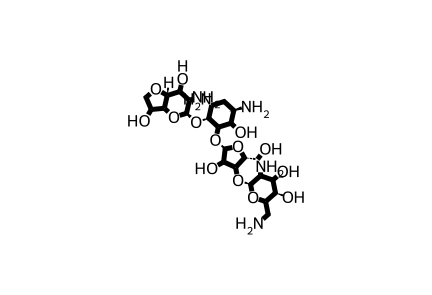 NCC1O[C@H](OC2C(O)[C@H](OC3C(O)[C@H](N)CC(N)[C@H]3O[C@H]3OC4C(O)CO[C@H]4C(O)C3N)O[C@@H]2CO)C(N)C(O)[C@@H]1O